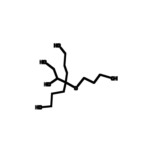 OCCCOC(CCCO)(CCCO)C(O)CO